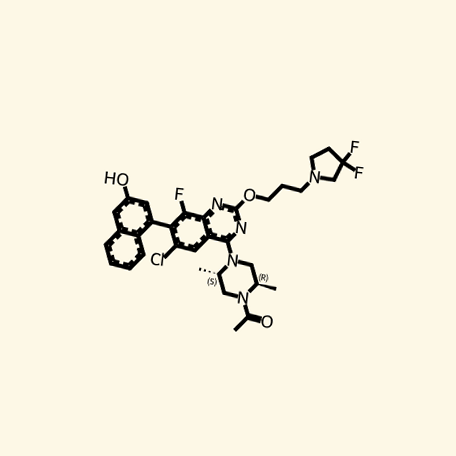 CC(=O)N1C[C@H](C)N(c2nc(OCCCN3CCC(F)(F)C3)nc3c(F)c(-c4cc(O)cc5ccccc45)c(Cl)cc23)C[C@H]1C